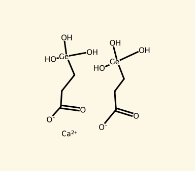 O=C([O-])C[CH2][Ge]([OH])([OH])[OH].O=C([O-])C[CH2][Ge]([OH])([OH])[OH].[Ca+2]